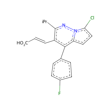 CC(C)c1nn2c(Cl)ccc2c(-c2ccc(F)cc2)c1C=CC(=O)O